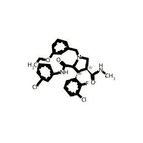 CCOc1cccc(CN2C[C@@H](C(=O)NC)[C@H](c3cccc(Cl)c3F)C2C(=O)Nc2cccc(Cl)c2)c1